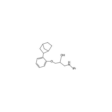 CC(C)NCC(O)COc1ccccc1C1CC2CCC1C2